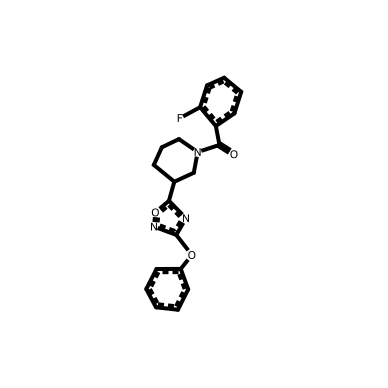 O=C(c1ccccc1F)N1CCCC(c2nc(Oc3ccccc3)no2)C1